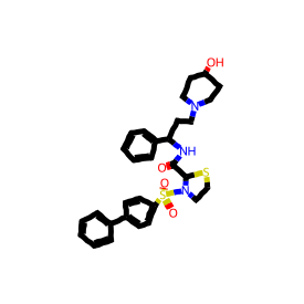 O=C(NC(CCN1CCC(O)CC1)c1ccccc1)C1SCCN1S(=O)(=O)c1ccc(-c2ccccc2)cc1